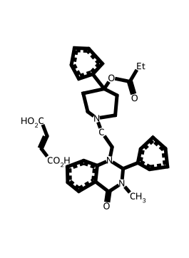 CCC(=O)OC1(c2ccccc2)CCN(CCN2c3ccccc3C(=O)N(C)C2c2ccccc2)CC1.O=C(O)C=CC(=O)O